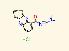 Cc1cc(C(=O)NCCN(C)C)c2nc3ccccc3nc2c1.Cl